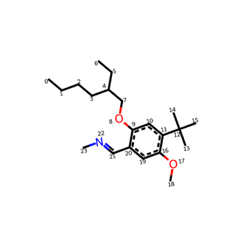 CCCCC(CC)COc1cc(C(C)(C)C)c(OC)cc1/C=N/C